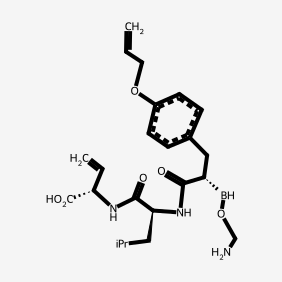 C=CCOc1ccc(C[C@H](BOCN)C(=O)N[C@@H](CC(C)C)C(=O)N[C@@H](C=C)C(=O)O)cc1